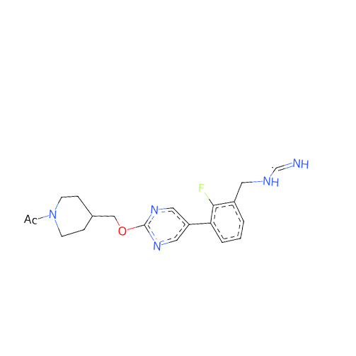 CC(=O)N1CCC(COc2ncc(-c3cccc(CN[C]=N)c3F)cn2)CC1